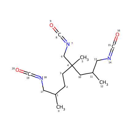 CC(CCC(C)(CN=C=O)CC(C)CN=C=O)CN=C=O